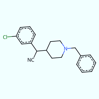 N#CC(c1cccc(Cl)c1)C1CCN(Cc2ccccc2)CC1